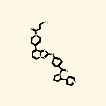 O=C(CCC(F)(F)F)N1CC=C(c2cccn3nc(Nc4ccc(C(=O)N5CCCC5c5ccncc5)cc4)nc23)CC1